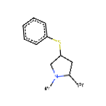 CC(C)C1CC(Sc2ccccc2)CN1C(C)C